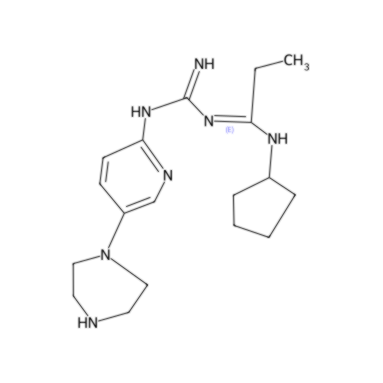 CC/C(=N\C(=N)Nc1ccc(N2CCNCC2)cn1)NC1CCCC1